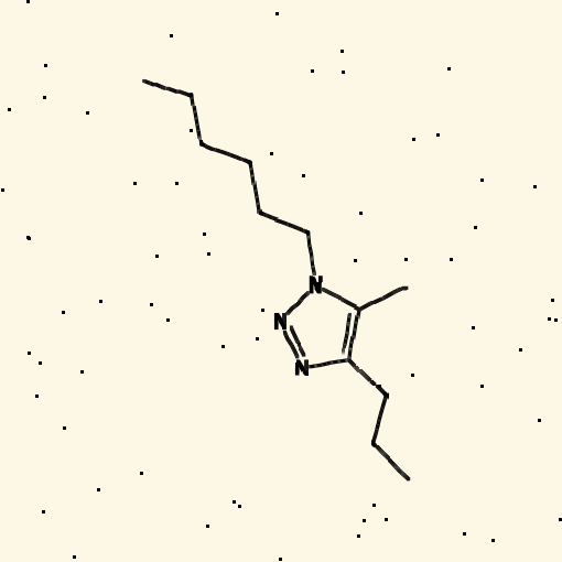 CCCCCCn1nnc(CCC)c1C